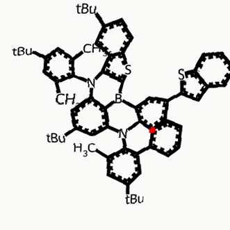 Cc1cc(C(C)(C)C)cc(C)c1N1c2cc(C(C)(C)C)cc3c2B(c2cc(-c4cc5ccccc5s4)ccc2N3c2c(C)cc(C(C)(C)C)cc2-c2ccccc2)c2sc3ccc(C(C)(C)C)cc3c21